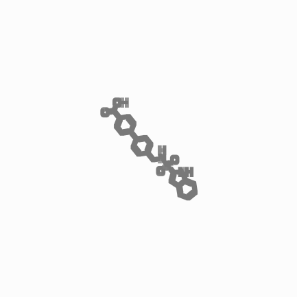 O=C(O)c1ccc(-c2ccc(CNS(=O)(=O)c3cc4ccccc4[nH]3)cc2)cc1